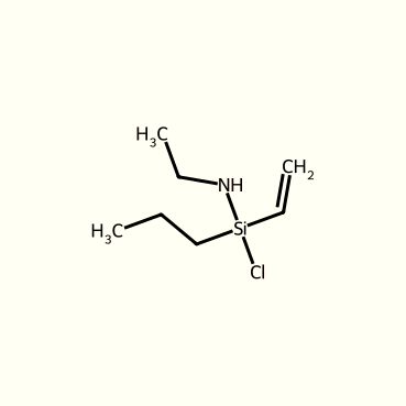 C=C[Si](Cl)(CCC)NCC